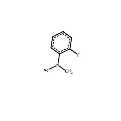 CC(=O)N(C)c1ccccc1F